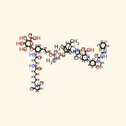 Cc1c(-c2ccc(-c3ccc4c(c3)N(C(=O)Nc3nc5ccccc5s3)CCO4)nc2C(=O)O)cnn1CC12CC3(C)CC(C)(C1)CC(OCCN(C)C(=O)OC/C=C/c1ccc(O[C@@H]4O[C@H](C(=O)O)[C@@H](O)[C@H](O)[C@H]4O)c(NC(=O)CCNC(=O)CCCCCN4C(=O)C=CC4=O)c1)(C3)C2